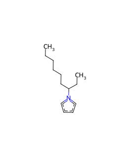 CCCCCCC(CC)n1cccc1